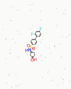 O=S(=O)(N[C@H]1CC[C@@H](O)C1)c1ccc(-c2ccc(F)cc2F)cc1